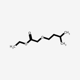 CCOC(=O)COCCC(C)C